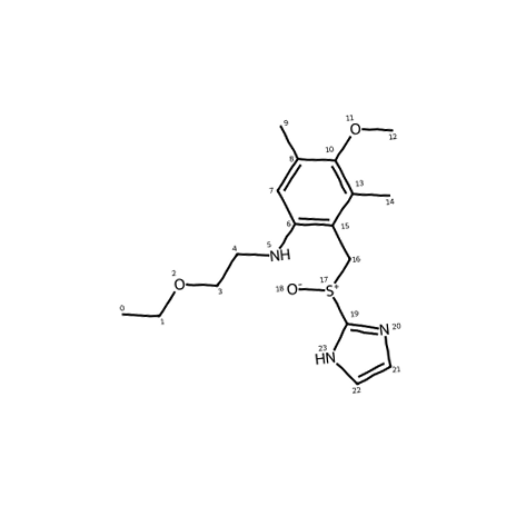 CCOCCNc1cc(C)c(OC)c(C)c1C[S+]([O-])c1ncc[nH]1